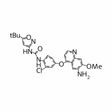 COc1cc2nccc(Oc3ccc(NC(=O)Nc4cc(C(C)(C)C)on4)c(Cl)c3)c2cc1N